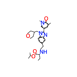 CCC(NCCc1ccc2c(c1)nc(-c1cc(C)c(=O)n(C)c1)n2CC1CCOCC1)C(=O)OC(C)C